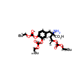 CCC(C)COC(=O)Oc1ccc(CC(N)(C[C@H](C)OC(=O)OCC(C)CC)C(=O)O)cc1OC(=O)OCC(C)CC